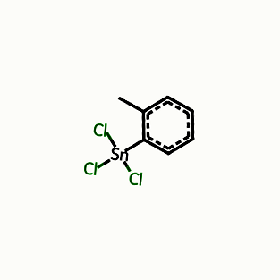 Cc1cccc[c]1[Sn]([Cl])([Cl])[Cl]